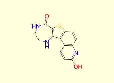 O=C1NCCNc2c1sc1ccc3nc(O)ccc3c21